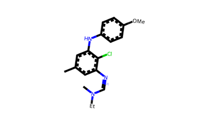 CCN(C)/C=N\c1cc(C)cc(Nc2ccc(OC)cc2)c1Cl